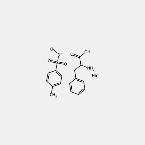 Cc1ccc(S(=O)(=O)[N-]Cl)cc1.NC(Cc1ccccc1)C(=O)O.[Na+]